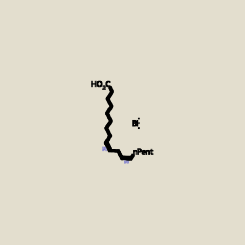 CCCCC/C=C\C/C=C\CCCCCCCC(=O)O.[Bi]